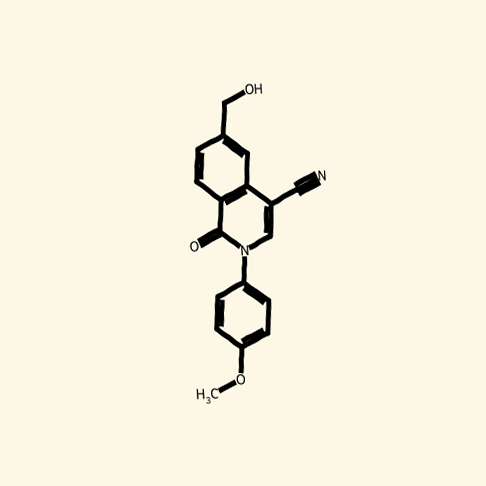 COc1ccc(-n2cc(C#N)c3cc(CO)ccc3c2=O)cc1